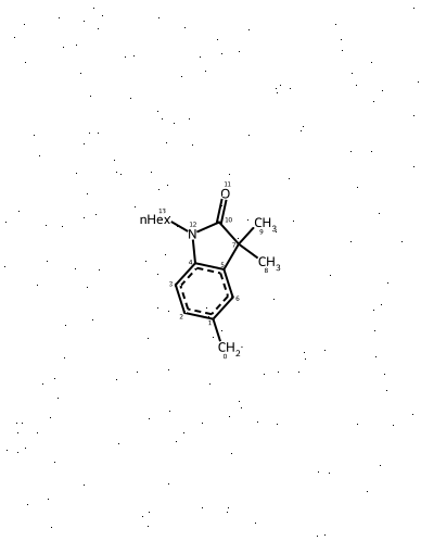 [CH2]c1ccc2c(c1)C(C)(C)C(=O)N2CCCCCC